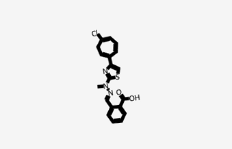 CN(/N=C/c1ccccc1C(=O)O)c1nc(C2=CCC(Cl)=CC=C2)cs1